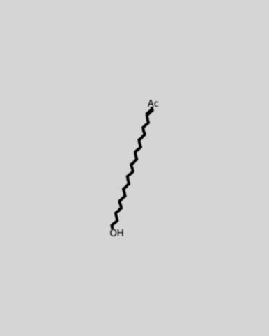 CC(=O)/C=C/CCCCCCCCCCCCCCCCCCO